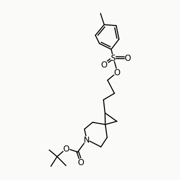 Cc1ccc(S(=O)(=O)OCCCC2CC23CCN(C(=O)OC(C)(C)C)CC3)cc1